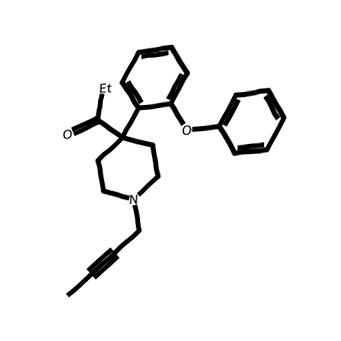 CC#CCN1CCC(C(=O)CC)(c2ccccc2Oc2ccccc2)CC1